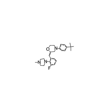 CN1CCN(c2c(F)cccc2C=C2CN(c3ccc(C(C)(C)C)cc3)CCO2)CC1